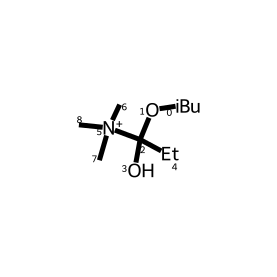 CCC(C)OC(O)(CC)[N+](C)(C)C